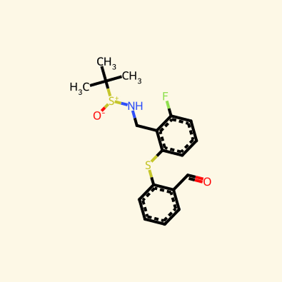 CC(C)(C)[S+]([O-])NCc1c(F)cccc1Sc1ccccc1C=O